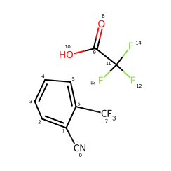 N#Cc1ccccc1C(F)(F)F.O=C(O)C(F)(F)F